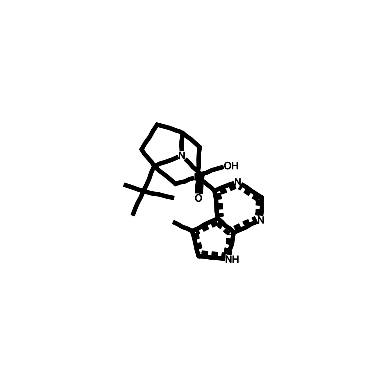 Cc1c[nH]c2ncnc(N3CC4CCC(C(C)(C)C)(C3)N4C(=O)O)c12